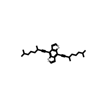 CC(C)CCCC(C)C#Cc1c2ccsc2c(C#CC(C)CCCC(C)C)c2ccsc12